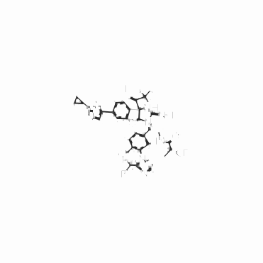 C=C(C(C)(C)C(F)(F)F)[C@]1(c2ccc(-c3cnn(C4CC4)n3)cc2)NC(=N)N([C@H](CNC(=O)[C@@H](C)C(F)(F)F)c2ccc(Cl)c(-n3ncnc3C(F)F)c2)C1=O